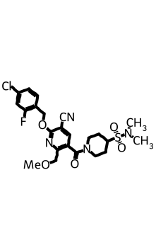 COCc1nc(OCc2ccc(Cl)cc2F)c(C#N)cc1C(=O)N1CCC(S(=O)(=O)N(C)C)CC1